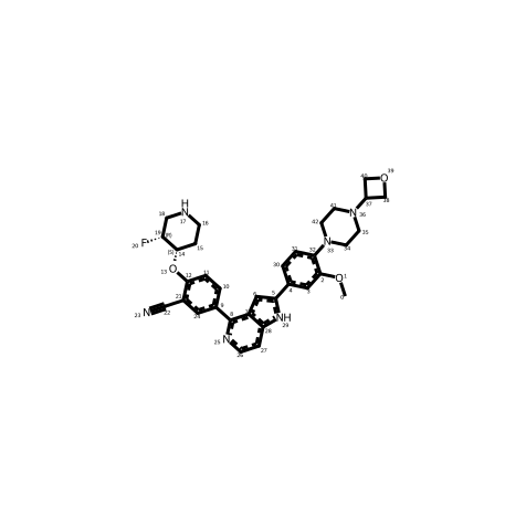 COc1cc(-c2cc3c(-c4ccc(O[C@H]5CCNC[C@H]5F)c(C#N)c4)nccc3[nH]2)ccc1N1CCN(C2COC2)CC1